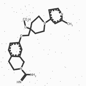 Cc1cc(N2CCC(COc3ccc4c(c3)CN(C(=N)N)CC4)(OC(=O)O)CC2)ccn1